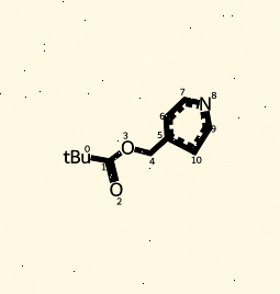 CC(C)(C)C(=O)OCc1ccncc1